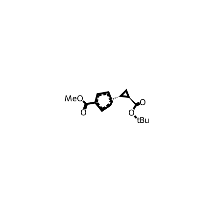 COC(=O)c1ccc([C@@H]2C[C@H]2C(=O)OC(C)(C)C)cc1